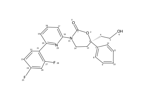 O=C1O[C@@](CCO)(c2ccccc2)CCN1c1cccc(-c2ccc(F)cc2F)n1